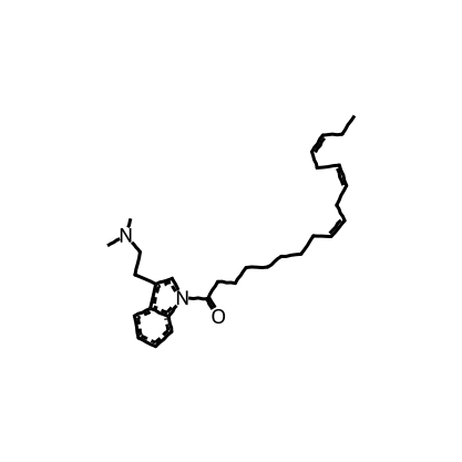 CC/C=C\C/C=C\C/C=C\CCCCCCCC(=O)n1cc(CCN(C)C)c2ccccc21